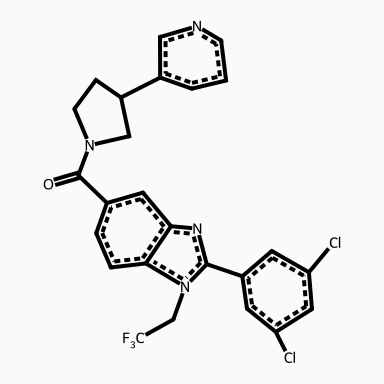 O=C(c1ccc2c(c1)nc(-c1cc(Cl)cc(Cl)c1)n2CC(F)(F)F)N1CCC(c2cccnc2)C1